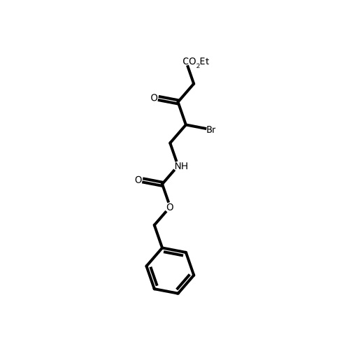 CCOC(=O)CC(=O)C(Br)CNC(=O)OCc1ccccc1